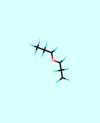 FC(F)C(F)(F)C(F)OC(F)C(F)(F)C(F)(F)F